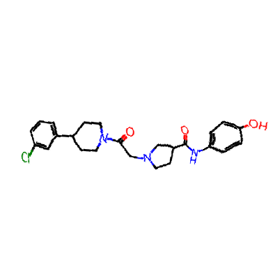 O=C(Nc1ccc(O)cc1)C1CCN(CC(=O)N2CCC(c3cccc(Cl)c3)CC2)C1